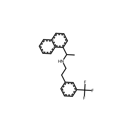 CC(NCCc1cccc(C(F)(F)F)c1)c1cccc2ccccc12